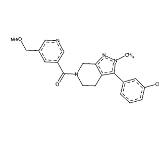 COCc1cncc(C(=O)N2CCc3c(nn(C)c3-c3cccc(Cl)c3)C2)c1